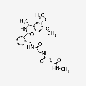 CNC(=O)/C=C/C(=O)NCC(=O)NCc1ccccc1C(=O)NC(C)c1ccc(OC)c(OC)c1